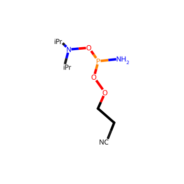 CC(C)N(OP(N)OOCCC#N)C(C)C